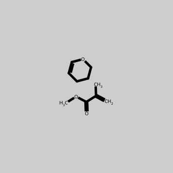 C1=COCCC1.C=C(C)C(=O)OC